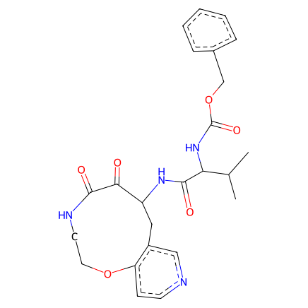 CC(C)C(NC(=O)OCc1ccccc1)C(=O)NC1Cc2cnccc2OCCNC(=O)C1=O